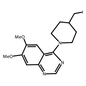 COc1cc2ncnc(N3CCC(CI)CC3)c2cc1OC